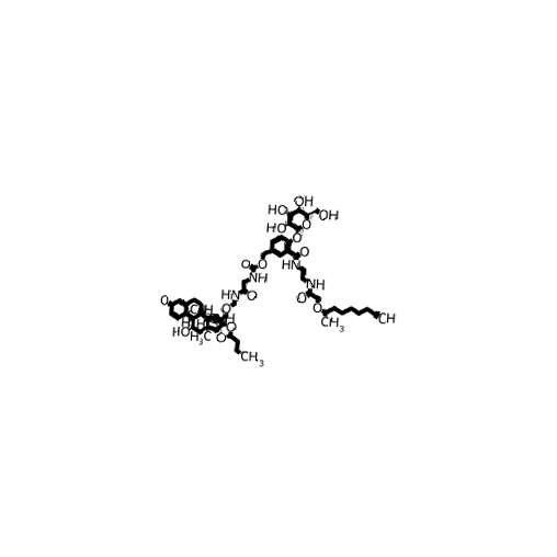 C#CCCCCCC(C)OCC(=O)NCCNC(=O)c1cc(COC(=O)NCC(=O)NCOCC(=O)[C@@]23OC(CCC)O[C@@H]2C[C@H]2[C@@H]4CCC5=CC(=O)C=C[C@]5(C)[C@H]4[C@@H](O)C[C@@]23C)ccc1O[C@@H]1O[C@H](CO)[C@@H](O)[C@H](O)[C@H]1O